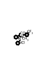 CN(Cc1cccc(C(F)(F)F)c1)c1c(CC(=O)O)c2ccccc2n1Cc1ccccc1.Cl